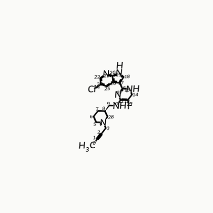 CC#CCN1CCC[C@@H](CNC2=C(F)CNC(c3c[nH]c4ncc(Cl)cc34)=N2)C1